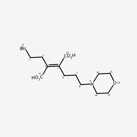 CCC(C)CC/C(C(=O)O)=C(/CCCN1CCOCC1)C(=O)O